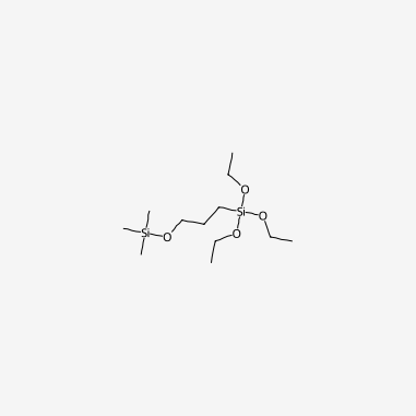 CCO[Si](CCCO[Si](C)(C)C)(OCC)OCC